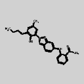 CCCCc1cc(C)cc(-n2nc3ccc(Nc4ccccc4C(C)=O)cc3n2)c1O